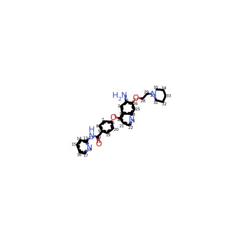 Nc1cc2c(Oc3ccc(C(=O)Nc4ccccn4)cc3)ccnc2cc1OCCN1CCCCC1